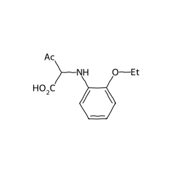 CCOc1ccccc1NC(C(C)=O)C(=O)O